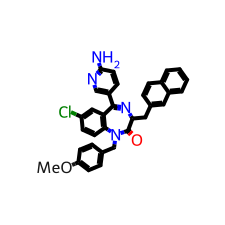 COc1ccc(CN2C(=O)C(Cc3ccc4ccccc4c3)N=C(c3ccc(N)nc3)c3cc(Cl)ccc32)cc1